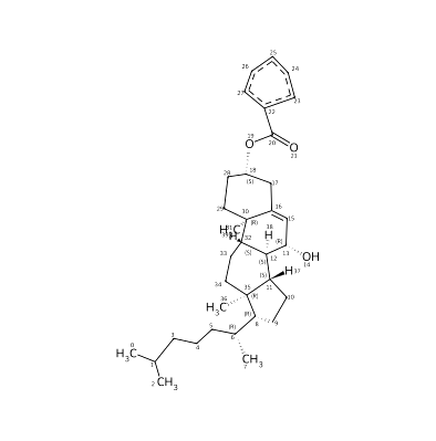 CC(C)CCC[C@@H](C)[C@H]1CC[C@H]2[C@@H]3[C@@H](O)C=C4C[C@@H](OC(=O)c5ccccc5)CC[C@]4(C)[C@H]3CC[C@]12C